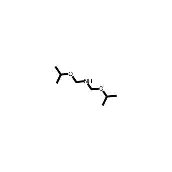 CC(C)OCNCOC(C)C